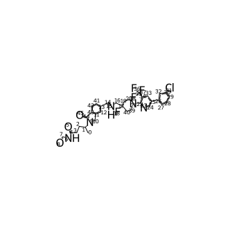 CC(CCC(=O)NC=O)N1Cc2cc(CNCC3(F)CCN(c4ncc(-c5cccc(Cl)c5)cc4C(F)(F)F)CC3)ccc2C1=O